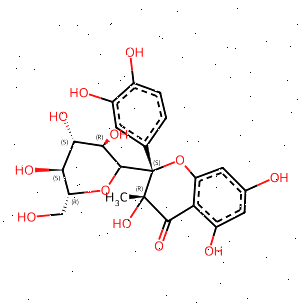 C[C@]1(O)C(=O)c2c(O)cc(O)cc2O[C@@]1(c1ccc(O)c(O)c1)C1O[C@H](CO)[C@@H](O)[C@H](O)[C@H]1O